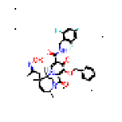 C/C(C[C@@]1(C)C=C[C@H](C)N2C[C@H]1n1cc(C(=O)NCc3c(F)cc(F)cc3F)c(=O)c(OCc3ccccc3)c1C2=O)=N/O